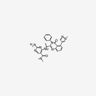 C[C@H](Nc1nc(N)ncc1C(=O)N(C)C)c1nc2cccc(-c3cnn(C)c3)c2c(=O)n1-c1ccccc1